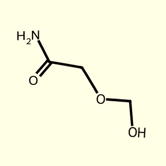 NC(=O)COCO